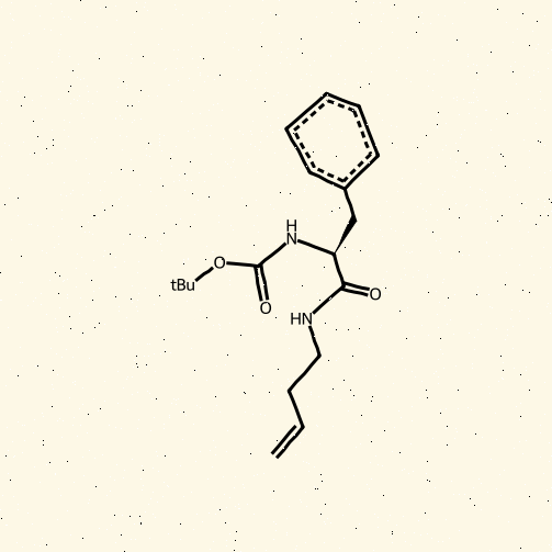 C=CCCNC(=O)[C@H](Cc1ccccc1)NC(=O)OC(C)(C)C